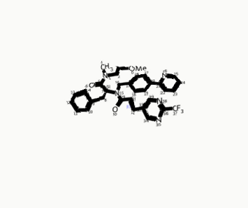 COCCN(C)C(=O)[C@H](Cc1ccccc1)N(Cc1ccc(-c2ccccn2)cc1)C(=O)/C=C/c1cnc(C(F)(F)F)nc1